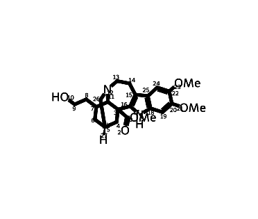 COC(=O)C12C[C@@H]3CC(CCO)C1N(CCc1c2[nH]c2cc(OC)c(OC)cc12)C3